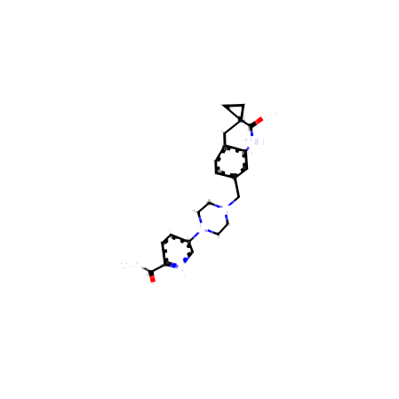 CNC(=O)c1ccc(N2CCN(Cc3ccc4c(c3)NC(=O)C3(CC3)C4)CC2)cn1